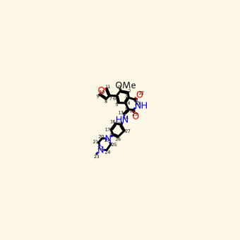 COc1cc2c(cc1-c1ccoc1)C(=CNc1ccc(N3CCN(C)CC3)cc1)C(=O)NC2=O